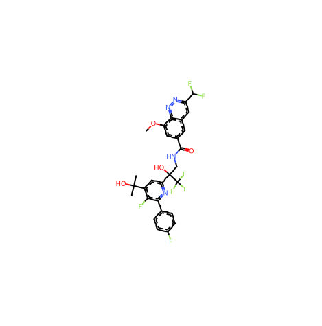 COc1cc(C(=O)NCC(O)(c2cc(C(C)(C)O)c(F)c(-c3ccc(F)cc3)n2)C(F)(F)F)cc2cc(C(F)F)nnc12